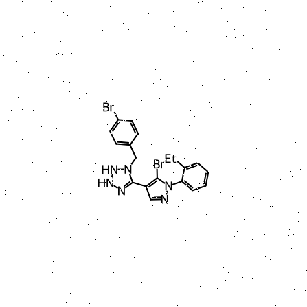 CCc1ccccc1-n1ncc(C2=NNNN2Cc2ccc(Br)cc2)c1Br